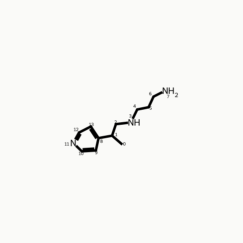 CC(CNCCCN)c1ccncc1